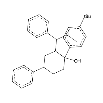 CN(C)C(c1ccccc1)C1CC(c2ccccc2)CCC1(O)c1ccc(C(C)(C)C)cc1